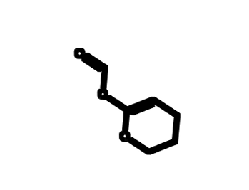 O=COC1=CCCCO1